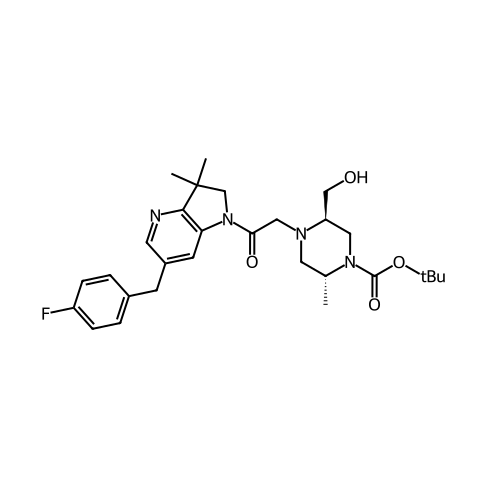 C[C@@H]1CN(CC(=O)N2CC(C)(C)c3ncc(Cc4ccc(F)cc4)cc32)[C@@H](CO)CN1C(=O)OC(C)(C)C